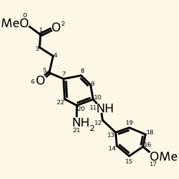 COC(=O)CCC(=O)c1ccc(NCc2ccc(OC)cc2)c(N)c1